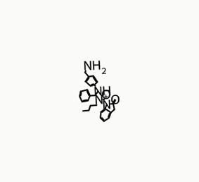 CCCC[N+](C(=O)N1C(=O)Cc2ccccc21)=C(Nc1ccc(CN)cc1)c1ccccc1